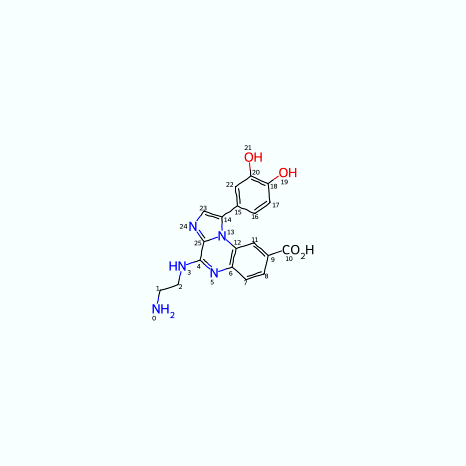 NCCNc1nc2ccc(C(=O)O)cc2n2c(-c3ccc(O)c(O)c3)cnc12